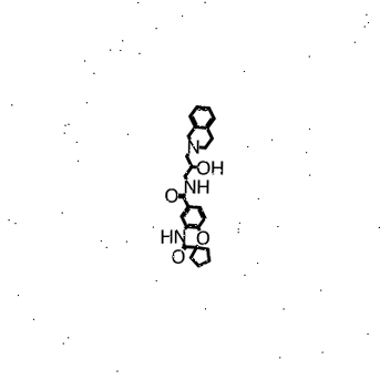 O=C(NCC(O)CN1CCc2ccccc2C1)c1ccc2c(c1)NC(=O)C1(CCCC1)O2